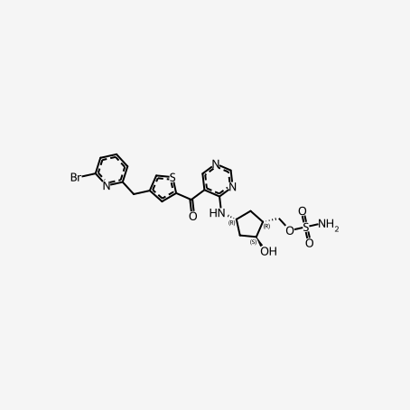 NS(=O)(=O)OC[C@H]1C[C@@H](Nc2ncncc2C(=O)c2cc(Cc3cccc(Br)n3)cs2)C[C@@H]1O